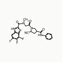 CN(CC(=O)N1CC(C(=O)Nc2ccccc2)CC1C#N)C(=O)c1nc2c(F)c(F)c(F)cc2[nH]1